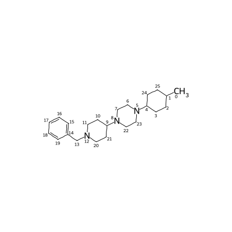 CC1CCC(N2CCN(C3CCN(Cc4ccccc4)CC3)CC2)CC1